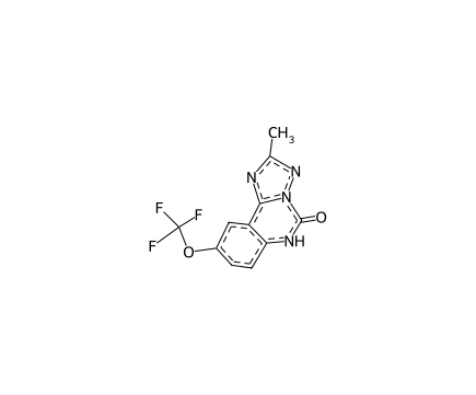 Cc1nc2c3cc(OC(F)(F)F)ccc3[nH]c(=O)n2n1